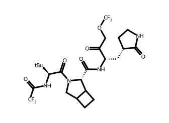 CC(C)(C)[C@H](NC(=O)C(F)(F)F)C(=O)N1CC2CCC2[C@H]1C(=O)N[C@@H](C[C@@H]1CCNC1=O)C(=O)COC(F)(F)F